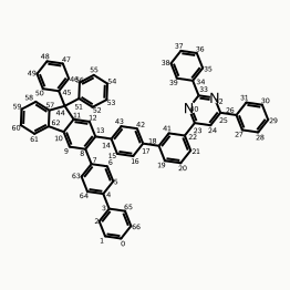 c1ccc(-c2ccc(-c3cc4c(cc3-c3ccc(-c5cccc(-c6cc(-c7ccccc7)nc(-c7ccccc7)n6)c5)cc3)C(c3ccccc3)(c3ccccc3)c3ccccc3-4)cc2)cc1